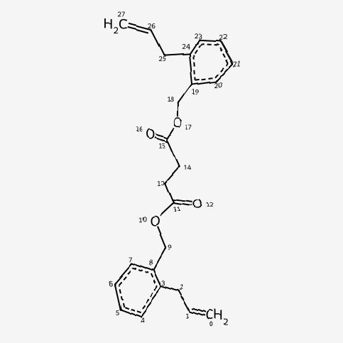 C=CCc1ccccc1COC(=O)CCC(=O)OCc1ccccc1CC=C